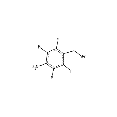 CC(C)Cc1c(F)c(F)c(N)c(F)c1F